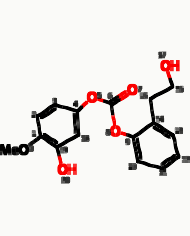 COc1ccc(OC(=O)Oc2ccccc2CCO)cc1O